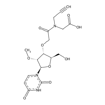 C#CCN(CC(=O)O)C(=O)CO[C@H]1[C@@H](OC)[C@H](n2ccc(=O)[nH]c2=O)O[C@@H]1CO